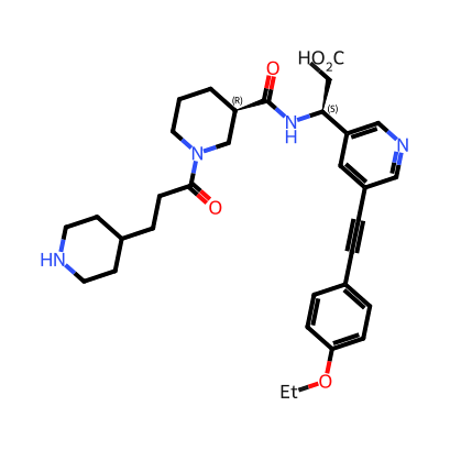 CCOc1ccc(C#Cc2cncc([C@H](CC(=O)O)NC(=O)[C@@H]3CCCN(C(=O)CCC4CCNCC4)C3)c2)cc1